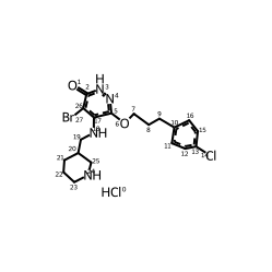 Cl.O=c1[nH]nc(OCCCc2ccc(Cl)cc2)c(NCC2CCCNC2)c1Br